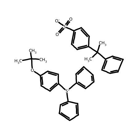 CC(C)(C)Oc1ccc([S+](c2ccccc2)c2ccccc2)cc1.CC(C)(c1ccccc1)c1ccc(S(=O)(=O)[O-])cc1